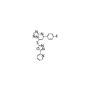 Fc1ccc(-c2cc(Sc3nnc(-c4ccccn4)o3)n3ncnc3n2)cc1